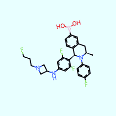 C[C@@H]1Cc2cc(B(O)O)ccc2[C@H](c2c(F)cc(NC3CN(CCCF)C3)cc2F)N1c1ccc(F)cc1